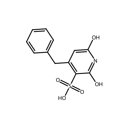 O=S(=O)(O)c1c(Cc2ccccc2)cc(O)nc1O